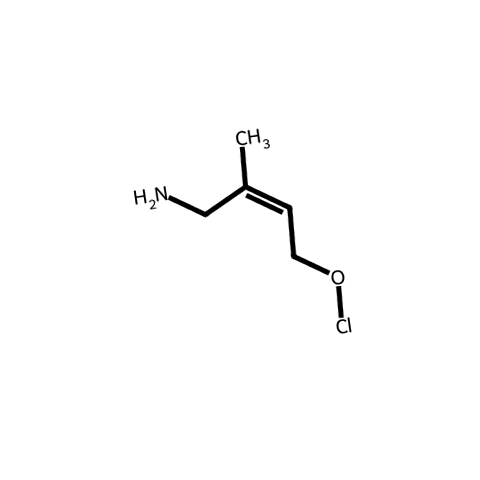 C/C(=C/COCl)CN